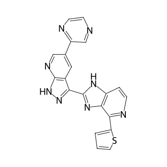 c1csc(-c2nccc3[nH]c(-c4n[nH]c5ncc(-c6cnccn6)cc45)nc23)c1